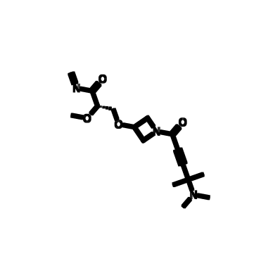 C=NC(=O)[C@H](COC1CN(C(=O)C#CC(C)(C)N(C)C)C1)OC